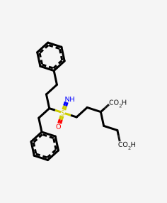 N=S(=O)(CCC(CCC(=O)O)C(=O)O)C(CCc1ccccc1)Cc1ccccc1